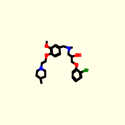 COc1cc(CN(C)CC(O)COc2ccccc2Br)ccc1OCCN1CCC(C)CC1